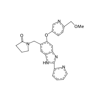 COCc1ccc(Oc2cc3nc(-c4ccccn4)[nH]c3cc2CN2CCCC2=O)cn1